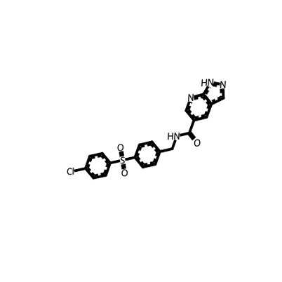 O=C(NCc1ccc(S(=O)(=O)c2ccc(Cl)cc2)cc1)c1cnc2[nH]ncc2c1